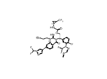 C=N/C=N\N(c1cc([C@@H](COC(=O)N[C@H]2CC2C(F)(F)F)N(C(=N)NCCC(C)(C)C)C(=O)c2ccc(-c3cnn(C(F)F)c3)cc2)ccc1Cl)C(F)F